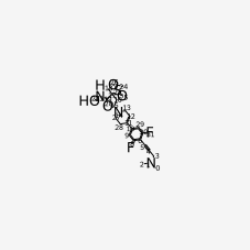 CN(C)CC#Cc1c(F)cc(C2=CCN(CCC(C)(C(=O)NO)S(C)(=O)=O)CC2)cc1F